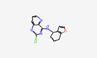 Clc1nc(NC2CCCc3occc32)c2ncccc2n1